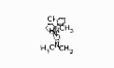 CN[C@@]1(c2ccccc2Cl)CCCC[C@@H]1N1CC[C@H](N(C)C)C1